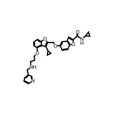 O=C(NC1CC1)c1cc2cc(OCc3oc4cccc(OCCCNCc5cccnc5)c4c3C3CC3)ccc2o1